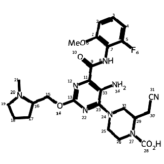 COc1cccc(F)c1NC(=O)c1nc(OCC2CCCN2C)nc(N2CCN(C(=O)O)C(CC#N)C2)c1N